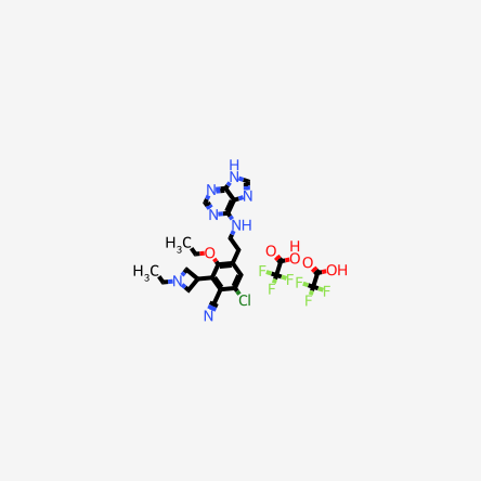 CCOc1c(CCNc2ncnc3[nH]cnc23)cc(Cl)c(C#N)c1C1CN(CC)C1.O=C(O)C(F)(F)F.O=C(O)C(F)(F)F